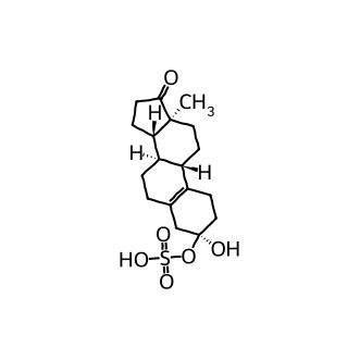 C[C@]12CC[C@@H]3C4=C(CC[C@H]3[C@@H]1CCC2=O)C[C@](O)(OS(=O)(=O)O)CC4